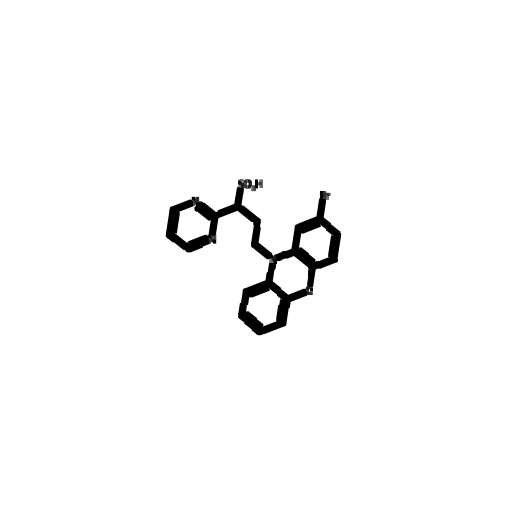 O=S(=O)(O)C(CCN1c2ccccc2Oc2ccc(Br)cc21)c1ncccn1